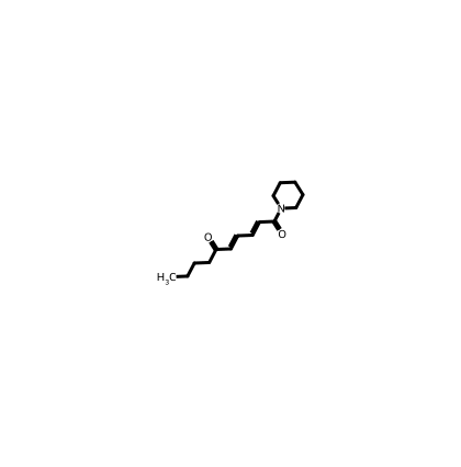 CCCCC(=O)C=CC=CC(=O)N1CCCCC1